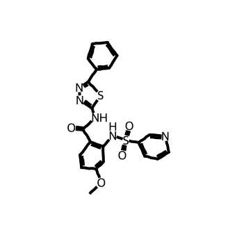 COc1ccc(C(=O)Nc2nnc(-c3ccccc3)s2)c(NS(=O)(=O)c2cccnc2)c1